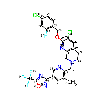 Cc1cc(-c2noc(C(F)(F)F)n2)cnc1CN1CCc2cc(Cl)c(OCc3ccc(Cl)cc3F)nc2C1